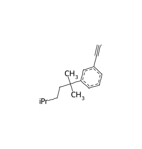 [C]#Cc1cccc(C(C)(C)CCC(C)C)c1